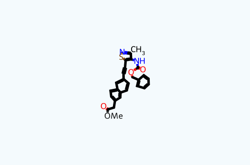 COC(=O)Cc1ccc2cc(C#Cc3snc(C)c3NC(=O)OCc3ccccc3)ccc2c1